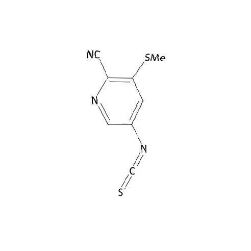 CSc1cc(N=C=S)cnc1C#N